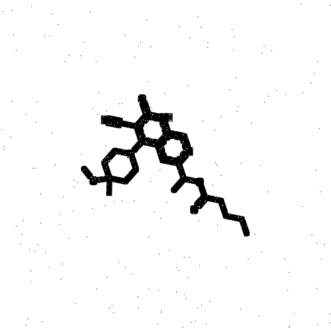 CCCCC(=O)OC(C)c1cc2c(N3CCC(C)(OC)CC3)c(C#N)c(=O)[nH]c2cn1